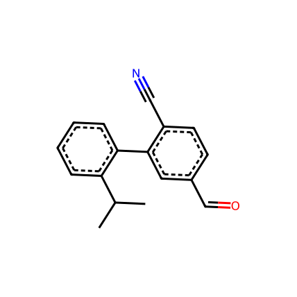 CC(C)c1ccccc1-c1cc(C=O)ccc1C#N